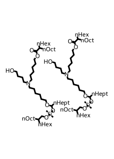 CCCCCCCCC(CCCCCC)CO[Si](C)(C)OC(CCCCCCC)OCCCCCCN(CCCCO)CCCCCCOC(=O)C(CCCCCC)CCCCCCCC.CCCCCCCCC(CCCCCC)CO[Si](C)(C)OC(CCCCCCC)OCCCCCCN(CCCCO)CCCCCCOC(=O)C(CCCCCC)CCCCCCCC